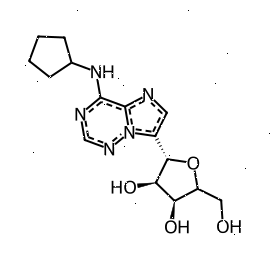 OCC1O[C@@H](c2cnc3c(NC4CCCC4)ncnn23)[C@H](O)[C@@H]1O